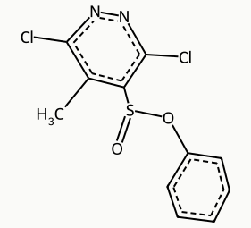 Cc1c(Cl)nnc(Cl)c1S(=O)Oc1ccccc1